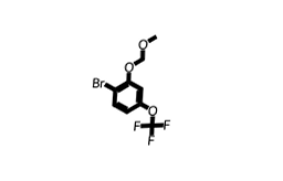 COCOc1cc(OC(F)(F)F)ccc1Br